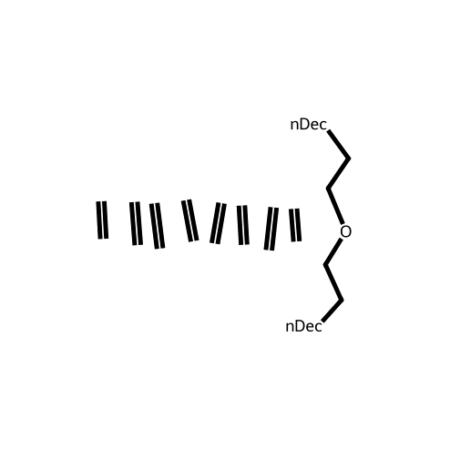 C=C.C=C.C=C.C=C.C=C.C=C.C=C.C=C.CCCCCCCCCCCCOCCCCCCCCCCCC